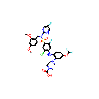 COc1ccc(CN(c2ncc(F)cn2)S(=O)(=O)c2cc(Cl)c(Nc3ccc(OC(F)F)cc3N(C)CCN(C)C(=O)O)cc2F)c(OC)c1